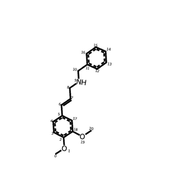 COc1ccc(/C=C/CNCc2ccccc2)cc1OC